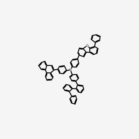 c1ccc(-c2ccccc2-c2ccccc2-c2ccc(N(c3ccc(-c4ccc5oc6c(-c7ccccc7)cccc6c5c4)cc3)c3ccc(-c4cc5ccccc5c5ccccc45)cc3)cc2)cc1